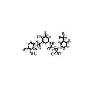 Nc1c(F)ccc(NC(=O)c2cc(NC(=O)[C@H]3[C@H](c4ccc(F)c(C(F)(F)F)c4)C3(Cl)Cl)cc(F)c2Cl)c1F